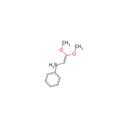 COC(=C[SiH2]c1ccccc1)OC